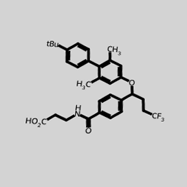 Cc1cc(OC(CCC(F)(F)F)c2ccc(C(=O)NCCC(=O)O)cc2)cc(C)c1-c1ccc(C(C)(C)C)cc1